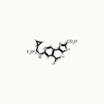 O=C(O)c1nc(-c2cnc(N[C@@H](C3CC3)C(F)(F)F)cc2C(F)F)cs1